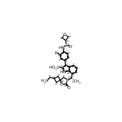 C[C@@H](c1cccc2c(-c3ccc(N[S+]([O-])C4COC4)c(F)c3)c(C(=O)O)[nH]c12)N1CC2(CC(CN)C2)OC1=O